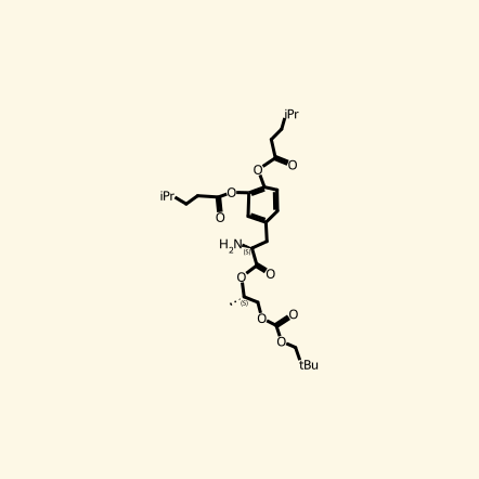 CC(C)CCC(=O)Oc1ccc(C[C@H](N)C(=O)O[C@@H](C)COC(=O)OCC(C)(C)C)cc1OC(=O)CCC(C)C